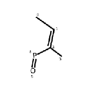 CC=C(C)P=O